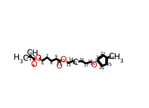 C=C(C)C(=O)OCCCCC(=O)OCCCCCCOc1ccc(C)cc1